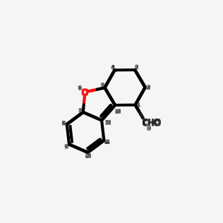 O=CC1CCCC2OC3C=CC=CC3=C12